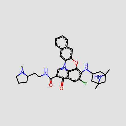 CN1CCCC1CCNC(=O)c1cn2c3c(c(NC4CC5(C)CC(C)(C4)N5)c(F)cc3c1=O)Oc1cc3ccccc3cc1-2